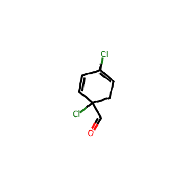 O=CC1(Cl)C=CC(Cl)=CC1